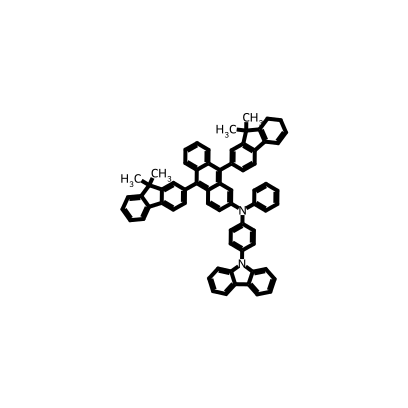 CC1(C)C2=C(C=CCC2)c2ccc(-c3c4ccccc4c(-c4ccc5c(c4)C(C)(C)c4ccccc4-5)c4ccc(N(c5ccccc5)c5ccc(-n6c7ccccc7c7ccccc76)cc5)cc34)cc21